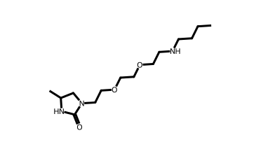 CCCCNCCOCCOCCN1CC(C)NC1=O